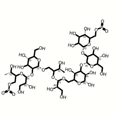 C[C@H](O)C(CO[C@H]1OC(CO)[C@@H](O)C(O)C1O[C@@H](OC(COP(=O)=O)[C@H](C)O)[C@H](O)CO)O[C@H](OCC1O[C@@H](O)[C@H](O)C(O[C@H]2OC(CO)[C@@H](O)C(O)C2O[C@H]2OC(COP(=O)=O)[C@@H](O)C(O)C2O)[C@@H]1O)[C@H](O)CO